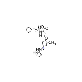 CC1=C/C(=N/NC2=NCCN2)C=CC1OCCC(NC(=O)OCc1ccccc1)C(=O)O